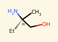 CC[C@@](C)(N)CO